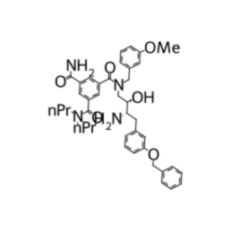 CCCN(CCC)C(=O)c1cc(C(N)=O)cc(C(=O)N(Cc2cccc(OC)c2)C[C@@H](O)[C@@H](N)Cc2cccc(OCc3ccccc3)c2)c1